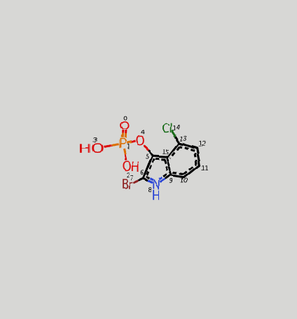 O=P(O)(O)Oc1c(Br)[nH]c2cccc(Cl)c12